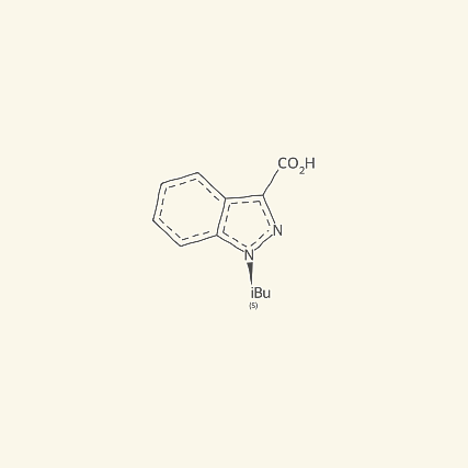 CC[C@H](C)n1nc(C(=O)O)c2ccccc21